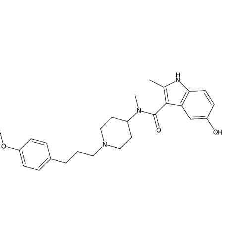 COc1ccc(CCCN2CCC(N(C)C(=O)c3c(C)[nH]c4ccc(O)cc34)CC2)cc1